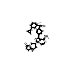 C[C@](O)(c1ccc(-c2nc([C@@H]3CC[C@H]4CCC(=O)N4C3)n3ccnc(N)c23)cc1)c1cccc(C2CC2)c1